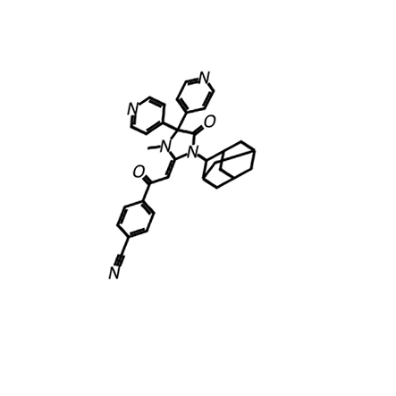 CN1C(=CC(=O)c2ccc(C#N)cc2)N(C2C3CC4CC(C3)CC2C4)C(=O)C1(c1ccncc1)c1ccncc1